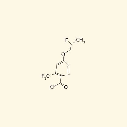 C[C@@H](F)COc1ccc(C(=O)Cl)c(C(F)(F)F)c1